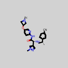 CC(=O)N1CC(Oc2ccc(NC(=O)[C@H](NC[C@@H](C)c3ccc(C#N)cc3)c3cnn(C)c3)nc2)C1